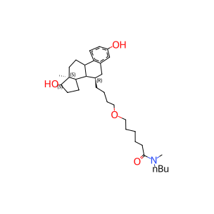 CCCCN(C)C(=O)CCCCCOCCCC[C@@H]1Cc2cc(O)ccc2C2CC[C@@]3(C)C(CC[C@@H]3O)C21